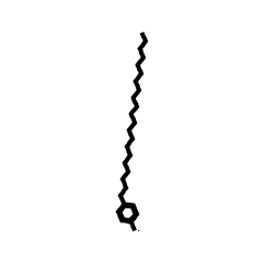 [CH2]c1ccc(CCCCCCCCCCCCCCCCCCCCC)cc1